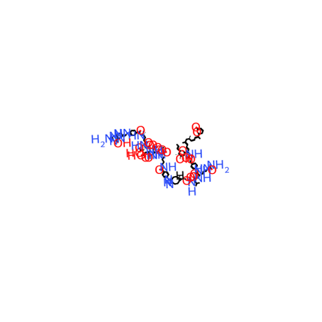 C/C=C/C1OC(C(/C=C/C=C(\C)C[C@@H](C)/C=C\C=C(/C)C2CC=CC(=O)O2)NC(=O)OCc2ccc(NC(=O)[C@H](CCCNC(N)=O)NC(=O)[C@@H](NC(=O)OC[C@@H]3C4CCc5nnn(-c6ccc(C(=O)NCCCC[C@H](NC(=O)[C@H](CC(=O)O)NC(=O)C(CC(=O)O)NC(=O)[C@H](CC(=O)O)NC(=O)CC[C@@H](C)NC(=O)c7ccc(NCc8cnc9nc(N)nc(O)c9n8)cc7)C(=O)OC)cc6)c5CC[C@@H]43)C(C)C)cc2)C[C@@H](O)[C@@H]1C